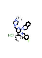 Cc1c(C)n(Cc2ccc(F)cc2)c2c(N3CCc4ccccc4C3)nc(CN3CCN(C)CC3)cc12.Cl